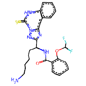 NCCCCC(NC(=O)c1ccccc1OC(F)F)c1nc2c3ccccc3[nH]c(=S)n2n1